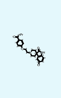 CCCC(=O)c1ccc(OCCN2CCC3(CC2)C(=O)Nc2ccc(Cl)cc23)cc1